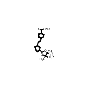 COC(=O)c1ccc(C=Cc2cccc(B3OC(C)(C)C(C)(C)O3)c2)cc1